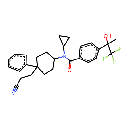 CC(O)(c1ccc(C(=O)N(C2CC2)C2CCC(CCC#N)(c3ccccc3)CC2)cc1)C(F)(F)F